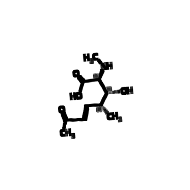 CN[C@H](C(=O)O)[C@H](O)[C@H](C)C=CC(C)=O